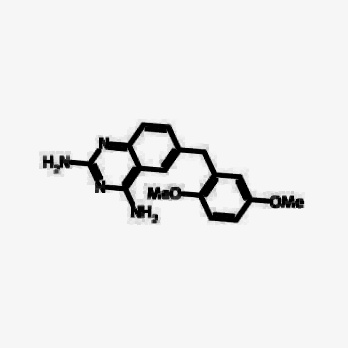 COc1ccc(OC)c(Cc2ccc3nc(N)nc(N)c3c2)c1